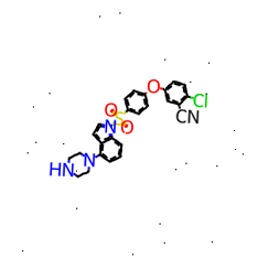 N#Cc1cc(Oc2ccc(S(=O)(=O)n3ccc4c(N5CCNCC5)cccc43)cc2)ccc1Cl